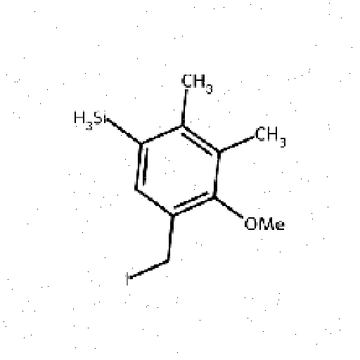 COc1c(CI)cc([SiH3])c(C)c1C